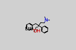 CCOC(=O)C(CCN(C)C)(Cc1ccccc1O)c1ccccc1